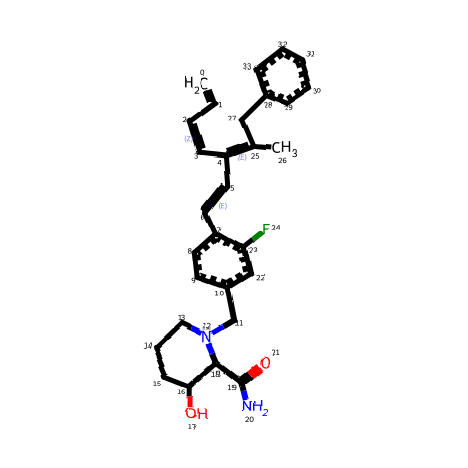 C=C\C=C/C(/C=C/c1ccc(CN2CCCC(O)C2C(N)=O)cc1F)=C(/C)Cc1ccccc1